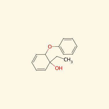 CCC1(O)C=CC=CC1Oc1ccccc1